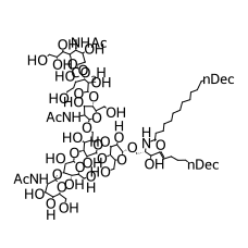 CCCCCCCCCCCCC/C=C/[C@@H](O)[C@H](CO[C@@H]1OC(CO)[C@@H](O[C@@H]2OC(CO[C@@H]3OC(CO)[C@@H](O[C@@H]4OC(CO)[C@H](O)[C@H](O[C@]5(C(=O)O)CC(O)[C@@H](NC(C)=O)C([C@H](O)[C@H](O)CO)O5)C4O)[C@H](O)C3NC(C)=O)[C@H](O)[C@H](O[C@H]3OC(CO)[C@H](O)[C@H](O[C@@H]4OC(CO)[C@H](O)[C@H](O)C4NC(C)=O)C3O)C2O)[C@H](O)C1O)NC(=O)CCCCCCCCCCCCCCCCCCCCC